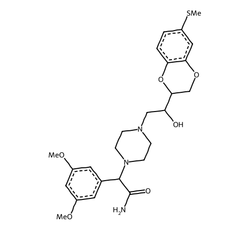 COc1cc(OC)cc(C(C(N)=O)N2CCN(CC(O)C3COc4cc(SC)ccc4O3)CC2)c1